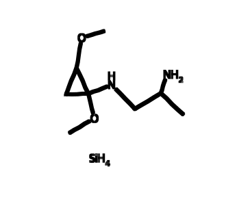 COC1CC1(NCC(C)N)OC.[SiH4]